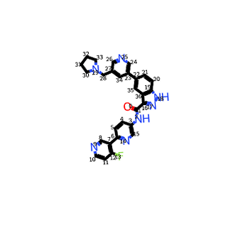 O=C(Nc1ccc(-c2cnccc2F)nc1)c1n[nH]c2ccc(-c3cncc(CN4CCCC4)c3)cc12